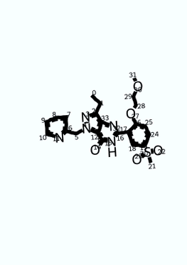 CCc1nn(Cc2ccccn2)c2c(=O)[nH]c(-c3cc(S(C)(=O)=O)ccc3OCCOC)nc12